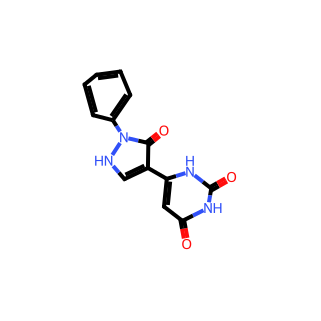 O=c1cc(-c2c[nH]n(-c3ccccc3)c2=O)[nH]c(=O)[nH]1